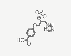 CS(=O)(=O)OC(COc1ccc(C(=O)O)cc1)Cn1ncnn1